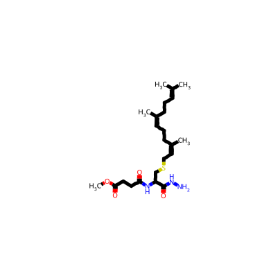 COC(=O)CCC(=O)NC(CSCC=C(C)CCC=C(C)CCC=C(C)C)C(=O)NN